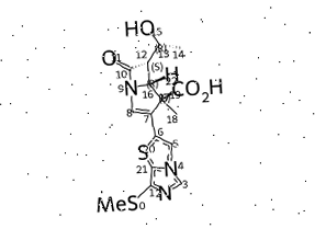 CSc1ncn2cc(C3=CN4C(=O)[C@H]([C@@H](C)O)[C@@H]4[C@@]3(C)C(=O)O)sc12